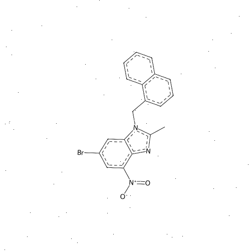 Cc1nc2c([N+](=O)[O-])cc(Br)cc2n1Cc1cccc2ccccc12